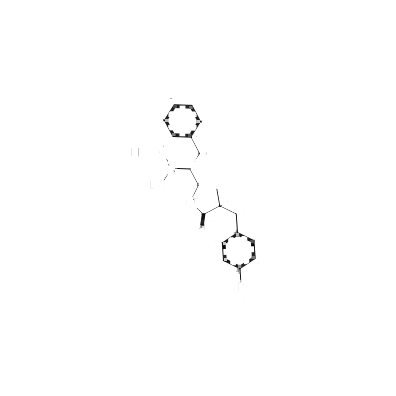 CC(C)(C)N(C(=O)O)[C@@H](Cc1ccccc1)[C@@H]1CC(Cc2ccc(Br)cc2)C(=O)O1